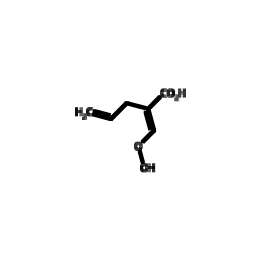 C=CCC(=COO)C(=O)O